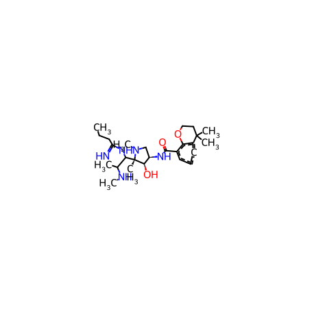 CCCC(=N)NC(C(C)NC)[C@@]1(C)[C@H](O)[C@H](NC(=O)c2cccc3c2OCCC3(C)C)CN1C